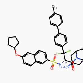 NC1CC2CCC(C1)N2C(=O)[C@H](NS(=O)(=O)c1ccc2cc(OC3CCCC3)ccc2c1)C(F)(F)c1ccc(-c2ccc(C(F)(F)F)cc2)cc1